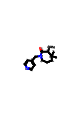 CNC1C(=O)N(Cc2ccncc2)CCCC1(C)C